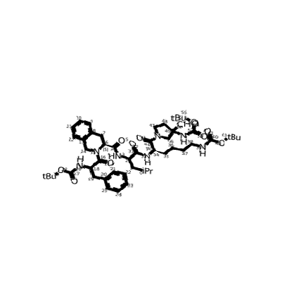 CC(C)CC(NC(=O)[C@@H]1Cc2ccccc2CN1C(=O)C(Cc1ccccc1)NC(=O)OC(C)(C)C)C(=O)N[C@H](CCCCNC(=O)OC(C)(C)C)C(=O)N1CCC(C=O)(NC(=O)OC(C)(C)C)C1